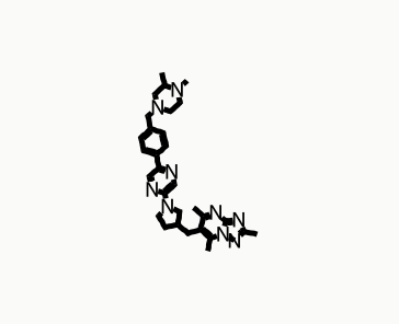 Cc1nc2nc(C)c(CC3CCN(c4cnc(-c5ccc(CN6CCN(C)C(C)C6)cc5)cn4)C3)c(C)n2n1